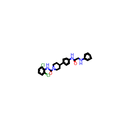 O=C(CNc1ccccc1)Nc1ccc(C2CCN(C(=O)Nc3c(Cl)cccc3Cl)CC2)cc1